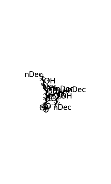 CCCCCCCCCCCCC(O)CN(CCC[N+](C)(CCCN(CC(O)CCCCCCCCCCCC)CC(O)CCCCCCCCCCCC)CCCS(=O)(=O)[O-])CC(O)CCCCCCCCCCCC